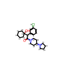 O=C(C(c1cccc(Cl)c1)C1(O)CCCCC1)N1CCC(N2CCCC2)CC1